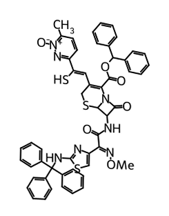 CON=C(C(=O)NC1C(=O)N2C(C(=O)OC(c3ccccc3)c3ccccc3)=C(C=C(S)c3ccc(C)[n+]([O-])n3)CSC12)c1csc(NC(c2ccccc2)(c2ccccc2)c2ccccc2)n1